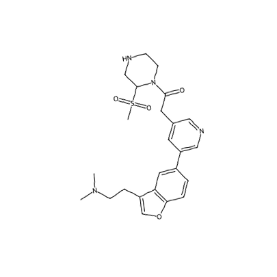 CN(C)CCc1coc2ccc(-c3cncc(CC(=O)N4CCNCC4S(C)(=O)=O)c3)cc12